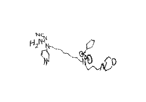 N#CN=C(N)N(CCCCCCCCN(CCCN1CCOCC1)S(=O)(=O)C1CCCC1)c1ccncc1